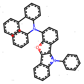 c1ccc(-c2ccccc2N(c2ccccc2)c2cccc3c2oc2c4ccccc4n(-c4ccccc4)c32)cc1